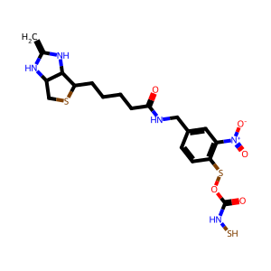 C=C1NC2CSC(CCCCC(=O)NCc3ccc(SOC(=O)NS)c([N+](=O)[O-])c3)C2N1